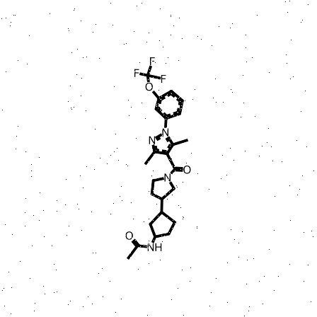 CC(=O)NC1CCC(C2CCN(C(=O)c3c(C)nn(-c4cccc(OC(F)(F)F)c4)c3C)C2)C1